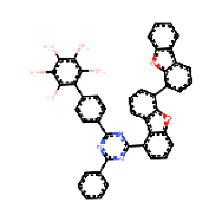 Bc1c(B)c(B)c(-c2ccc(-c3nc(-c4ccccc4)nc(-c4cccc5oc6c(-c7cccc8c7oc7ccccc78)cccc6c45)n3)cc2)c(B)c1B